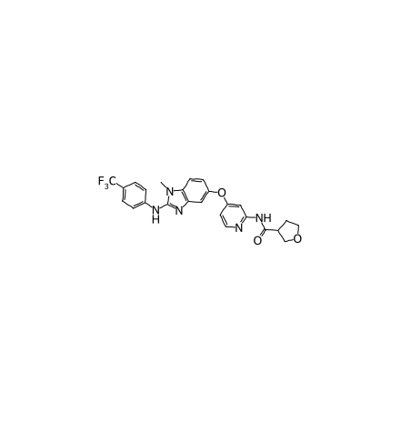 Cn1c(Nc2ccc(C(F)(F)F)cc2)nc2cc(Oc3ccnc(NC(=O)C4CCOC4)c3)ccc21